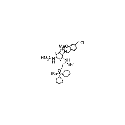 CCC[C@@H](CCO[Si](c1ccccc1)(c1ccccc1)C(C)(C)C)Nc1nc(NC(=O)O)nc2cnn(Cc3ccc(CCl)cc3OC)c12